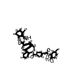 Cc1cnc(Cl)c(NC(=O)c2ccc(C(=O)N3CCc4cc(C(=O)Nc5c(C)cccc5F)sc4-c4ccccc43)cc2)c1